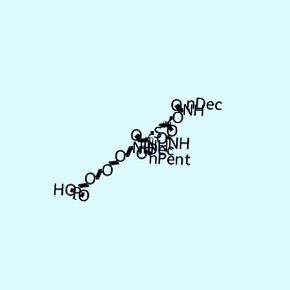 CCCCCCCCCCNC(=O)OC[C@H](CSC[C@H](NC(=O)CCCCC)C(=O)NCCOCCOCCOCCP(C)(=O)O)OC(=O)NCCCCCCCCCC